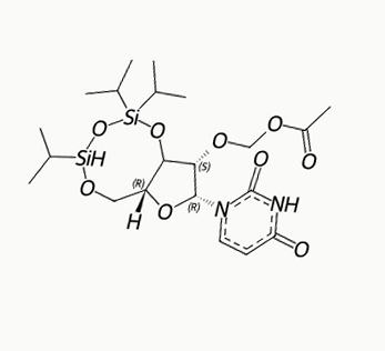 CC(=O)OCO[C@H]1C2O[Si](C(C)C)(C(C)C)O[SiH](C(C)C)OC[C@H]2O[C@H]1n1ccc(=O)[nH]c1=O